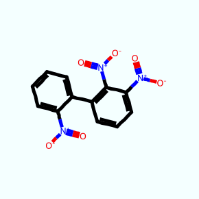 O=[N+]([O-])c1ccccc1-c1cccc([N+](=O)[O-])c1[N+](=O)[O-]